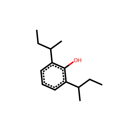 CCC(C)c1cccc(C(C)CC)c1O